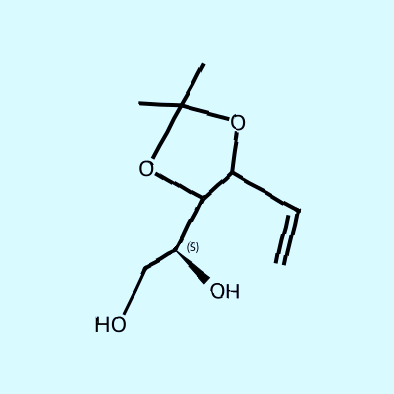 C=CC1OC(C)(C)OC1[C@@H](O)CO